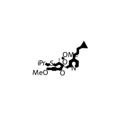 COCC#CC(=O)[C@](Cc1cc(CCCC2CC2)ccn1)(OCOC)[C@@H](C)CSCC(C)C